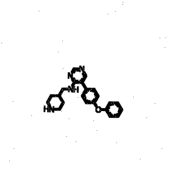 c1ccc(Oc2ccc(-c3cncnc3NCC3CCNCC3)cc2)cc1